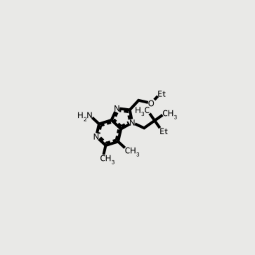 CCOCc1nc2c(N)nc(C)c(C)c2n1CC(C)(C)CC